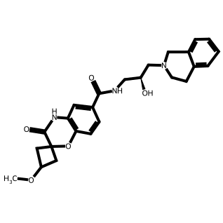 COC1CC2(C1)Oc1ccc(C(=O)NC[C@H](O)CN3CCc4ccccc4C3)cc1NC2=O